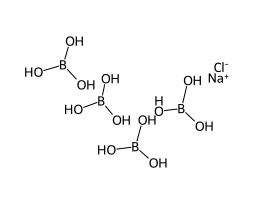 OB(O)O.OB(O)O.OB(O)O.OB(O)O.[Cl-].[Na+]